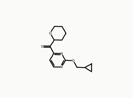 O=C(c1ccnc(OCC2CC2)n1)C1CCCCO1